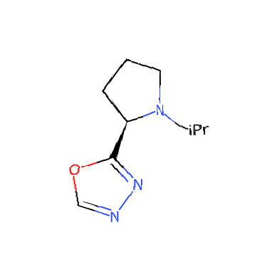 CC(C)N1CCC[C@@H]1c1nnco1